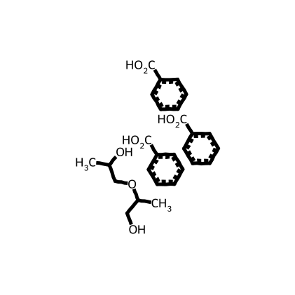 CC(O)COC(C)CO.O=C(O)c1ccccc1.O=C(O)c1ccccc1.O=C(O)c1ccccc1